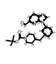 CC(C)(C)OC(=O)N1CCC(Cc2cccc(-n3cnc4ccc(C=O)nc43)c2)CC1